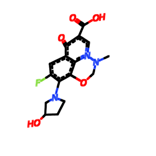 CN1COc2c(N3CCC(O)C3)c(F)cc3c(=O)c(C(=O)O)cn1c23